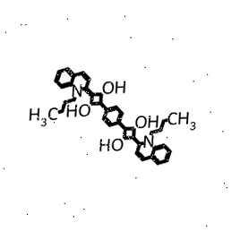 CCCCN1C(=C2C(O)C(c3ccc(C4C(O)C(C5C=Cc6ccccc6N5CCCC)C4O)cc3)C2O)C=Cc2ccccc21